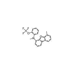 Cc1cccc2c1oc1c(N(C)c3ccccc3OC(F)(F)F)cccc12